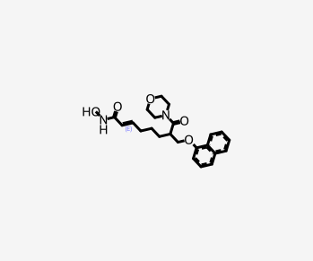 O=C(/C=C/CCCC(COc1cccc2ccccc12)C(=O)N1CCOCC1)NO